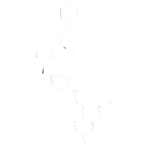 O=C(Nc1ccc(C[C@@H](CO)NC[C@H](O)COc2ccccc2)cc1)N(OC(=O)C(F)(F)F)c1ccc(Cl)c(C(F)(F)F)c1